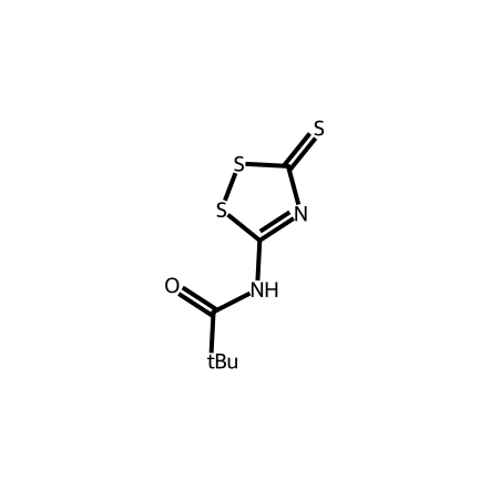 CC(C)(C)C(=O)Nc1nc(=S)ss1